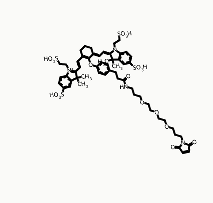 CC1(C)C(/C=C/C2=C(Oc3ccc(CCC(=O)NCCCOCCOCCOCCCN4C(=O)C=CC4=O)cc3)C(=C/C=C3/N(CCS(=O)(=O)O)c4ccc(S(=O)(=O)O)cc4C3(C)C)/CCC2)=[N+](CCS(=O)(=O)O)c2ccc(S(=O)(=O)O)cc21